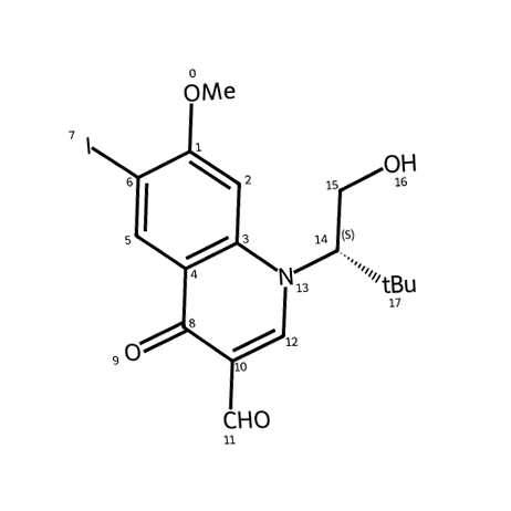 COc1cc2c(cc1I)c(=O)c(C=O)cn2[C@H](CO)C(C)(C)C